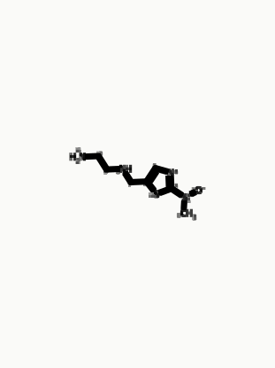 C[S+]([O-])c1ncc(CNCCN)s1